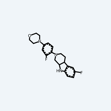 Fc1ccc2c(c1)C1CCN(c3ccc(N4CCOCC4)cc3F)CC1N2